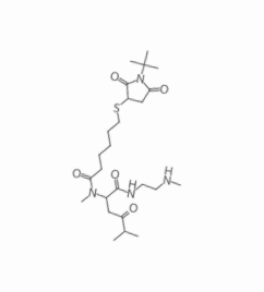 CNCCNC(=O)C(CC(=O)C(C)C)N(C)C(=O)CCCCCSC1CC(=O)N(C(C)(C)C)C1=O